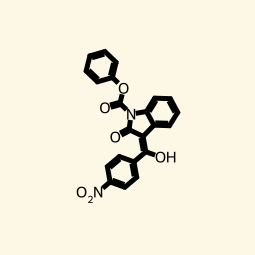 O=C(Oc1ccccc1)N1C(=O)/C(=C(/O)c2ccc([N+](=O)[O-])cc2)c2ccccc21